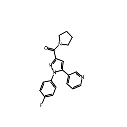 O=C(c1cc(-c2cccnc2)n(-c2ccc(F)cc2)n1)N1CCCC1